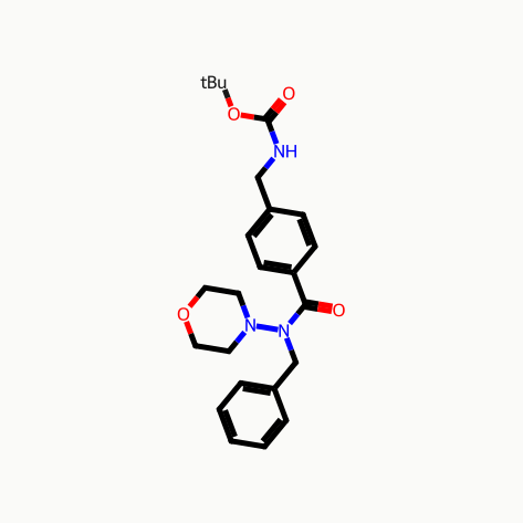 CC(C)(C)OC(=O)NCc1ccc(C(=O)N(Cc2ccccc2)N2CCOCC2)cc1